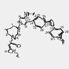 C=CC(=O)N1CCCC(n2cc(N)c(-c3ccc(Oc4ccc(F)cc4)cc3)c2)C1